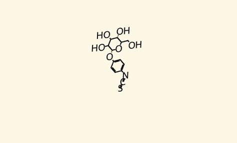 OCC1O[C@H](Oc2ccc(N=C=S)cc2)C(O)[C@@H](O)[C@@H]1O